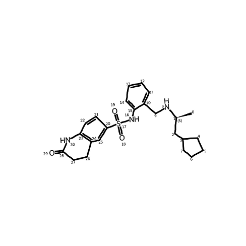 C[C@@H](CC1CCCC1)NCc1ccccc1NS(=O)(=O)c1ccc2c(c1)CCC(=O)N2